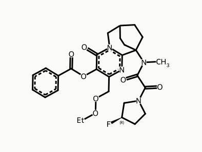 CCOOCc1nc2n(c(=O)c1OC(=O)c1ccccc1)CC1CCC2(N(C)C(=O)C(=O)N2CC[C@@H](F)C2)CC1